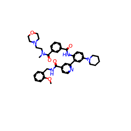 COc1ccccc1CNC(=O)c1ccnc(-c2cc(N3CCCCC3)ccc2NC(=O)c2cccc(C(=O)N(C)CCN3CCOCC3)c2)c1